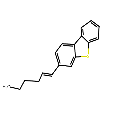 CCCC/C=C/c1ccc2c(c1)sc1ccccc12